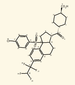 O=C(O)[C@H]1CC[C@H](C(=O)N2CCC3(S(=O)(=O)c4ccc(Cl)cc4)c4ccc(C(F)(F)C(F)F)cc4CCC23)CC1